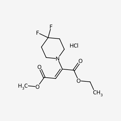 CCOC(=O)/C(=C/C(=O)OC)N1CCC(F)(F)CC1.Cl